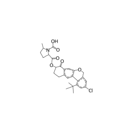 CC1CCC(C(=O)OC2CCc3cc4c(cc3C2=O)OCc2cc(Cl)cc(C(C)(C)C)c2-4)N1C(=O)O